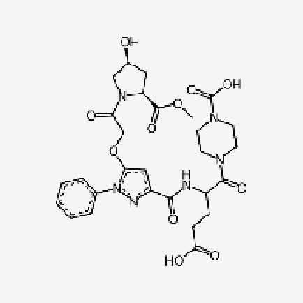 COC(=O)[C@@H]1C[C@H](O)CN1C(=O)COc1cc(C(=O)NC(CCC(=O)O)C(=O)N2CCN(C(=O)O)CC2)nn1-c1ccccc1